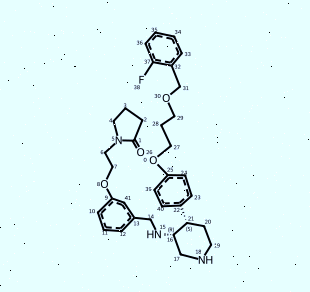 O=C1CCCN1CCOc1cccc(CN[C@H]2CNCC[C@H]2c2ccc(OCCCOCc3ccccc3F)cc2)c1